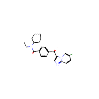 CCN(C(=O)c1ccc(C(=O)c2cnc3ccc(F)cn23)cc1)C1CCCCC1